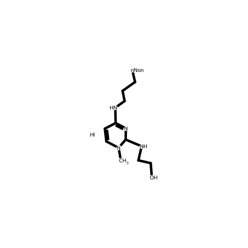 CCCCCCCCCCCCNC1=NC(NCCO)N(C)C=C1.I